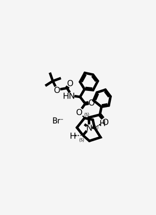 CC(C)(C)OC(=O)NC(C(=O)O[C@@H]1C[C@H]2CC[C@@H](C1)[N+]2(C)CC(=O)c1ccccc1)c1ccccc1.[Br-]